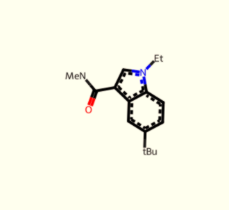 CCn1cc(C(=O)NC)c2cc(C(C)(C)C)ccc21